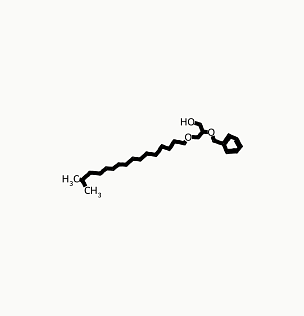 CC(C)CCCCCCCCCCCCCCOCC(CO)OCc1ccccc1